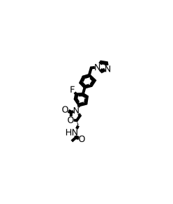 CC(=O)NC[C@H]1CN(c2ccc(-c3ccc(Cn4ccnc4)cc3)c(F)c2)C(=O)O1